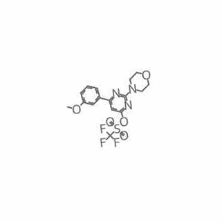 COc1cccc(-c2cc(OS(=O)(=O)C(F)(F)F)nc(N3CCOCC3)n2)c1